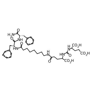 NC(=O)[C@H](Cc1ccccc1)NC(=O)[C@H](Cc1ccccc1)NC(=O)CCCCCCCNC(=O)CCC(NC(=O)NC(CCC(=O)O)C(=O)O)C(=O)O